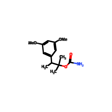 COc1cc(OC)cc(C(C)C(C)(C)OC(N)=O)c1